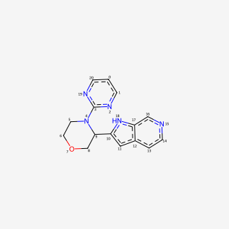 c1cnc(N2CCOCC2c2cc3ccncc3[nH]2)nc1